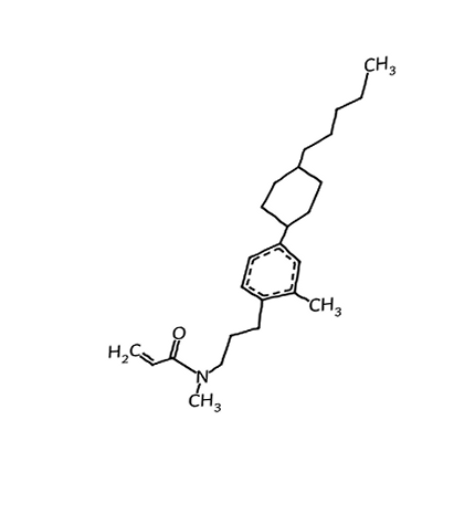 C=CC(=O)N(C)CCCc1ccc(C2CCC(CCCCC)CC2)cc1C